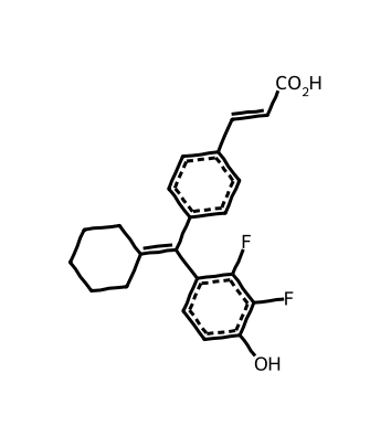 O=C(O)C=Cc1ccc(C(=C2CCCCC2)c2ccc(O)c(F)c2F)cc1